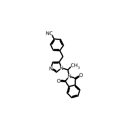 CC(N1C(=O)c2ccccc2C1=O)n1cncc1Cc1ccc(C#N)cc1